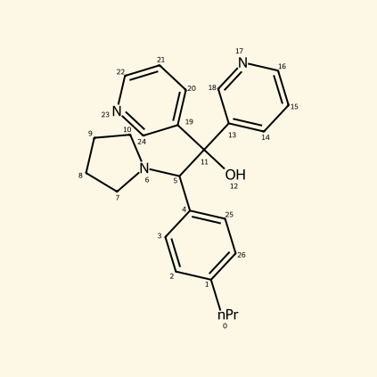 CCCc1ccc(C(N2CCCC2)C(O)(c2cccnc2)c2cccnc2)cc1